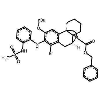 CCCCOc1cc2c(c(Br)c1Nc1ccccc1NS(C)(=O)=O)C[C@H]1[C@H]3CCCC[C@@]23CCN1C(=O)OCc1ccccc1